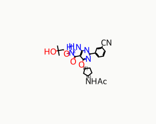 CC(=O)N[C@H]1CC[C@H](Oc2nc(-c3cccc(C#N)c3)nc(N)c2C(=O)NOCC(C)(C)O)C1